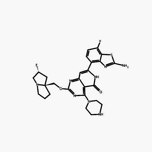 Nc1nc2c(-c3cc4nc(OC[C@@]56CCCN5C[C@H](F)C6)nc(N5CCNCC5)c4c(=O)[nH]3)ccc(F)c2s1